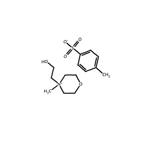 C[N+]1(CCO)CCOCC1.Cc1ccc(S(=O)(=O)[O-])cc1